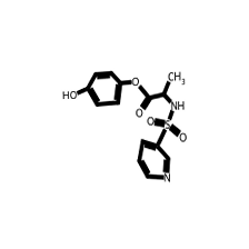 CC(NS(=O)(=O)c1cccnc1)C(=O)Oc1ccc(O)cc1